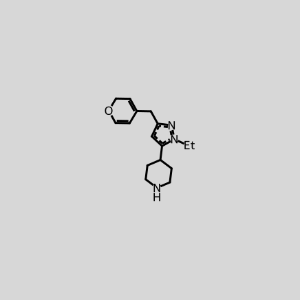 CCn1nc(CC2=CCOC=C2)cc1C1CCNCC1